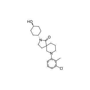 Cc1c(Cl)cccc1N1CCCC2(CCN([C@H]3CC[C@H](O)CC3)C2=O)C1